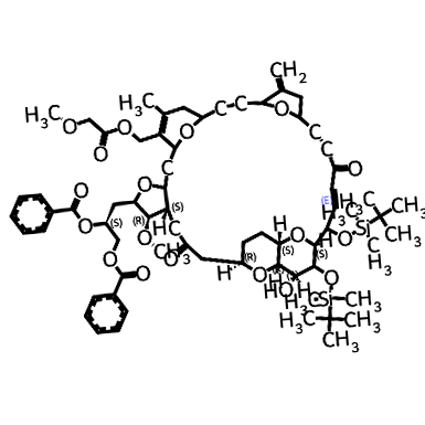 C=C1CC2CCC(=O)/C=C/C(O[Si](C)(C)C(C)(C)C)[C@@H]3O[C@H]4CC[C@H](CC(=O)C[C@H]5C(CC6OC(CCC1O2)CC(C)=C6COC(=O)COC)OC(C[C@@H](COC(=O)c1ccccc1)OC(=O)c1ccccc1)[C@@H]5OC)O[C@@H]4[C@H](O)C3O[Si](C)(C)C(C)(C)C